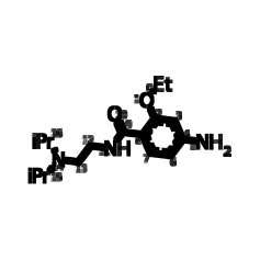 CCOc1cc(N)ccc1C(=O)NCCN(C(C)C)C(C)C